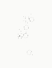 NC(=O)N(c1ccc(-c2ccc(OCCCc3cccnc3)c3[nH]nc(N)c23)cc1)c1cccc(Cl)c1